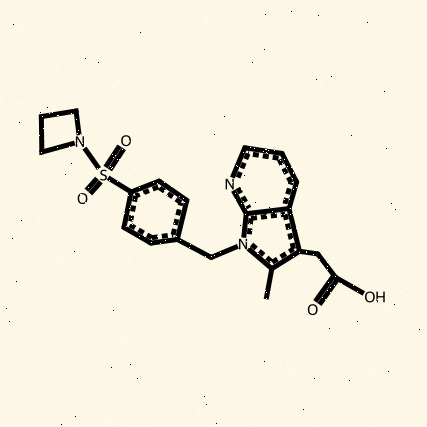 Cc1c(CC(=O)O)c2cccnc2n1Cc1ccc(S(=O)(=O)N2CCC2)cc1